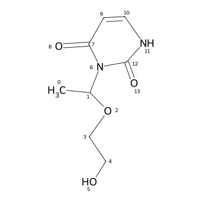 CC(OCCO)n1c(=O)cc[nH]c1=O